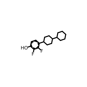 Oc1ccc(C2CCC(C3CCCCC3)CC2)c(F)c1F